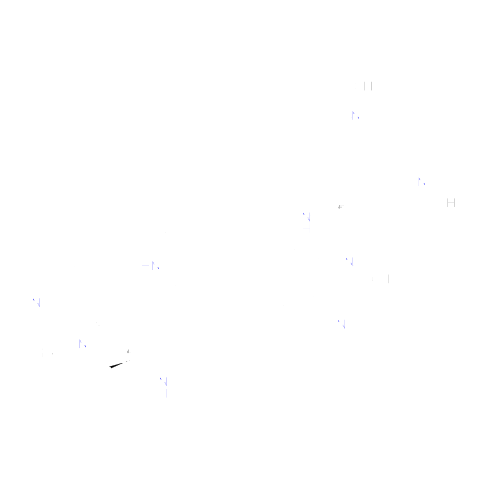 CN1CCC(N(C)c2cccc3c2C[C@H](CN(C)[C@H]2CCC(c4cc5c(c(NC6CCCCC6)c4)C[C@H](CN(C)[C@H]4CCCc6cccnc64)NC5)c4cccnc42)NC3)CC1